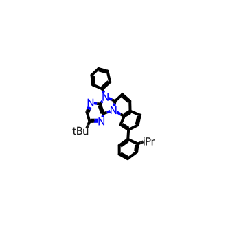 CC(C)c1ccccc1-c1ccc2c(c1)N1c3nc(C(C)(C)C)cnc3N(c3ccccc3)C1C=C2